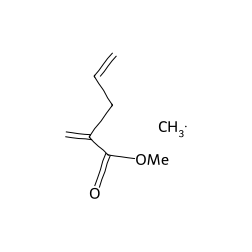 C=CCC(=C)C(=O)OC.[CH3]